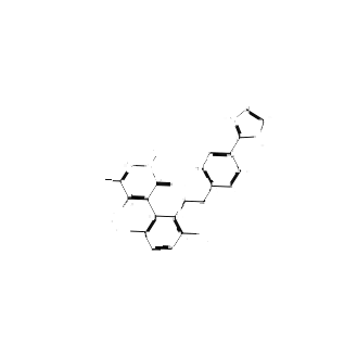 Cc1nn(C)c(=O)c(-c2c(F)ccc(Cl)c2CCc2ccc(-c3ncco3)cc2)c1O